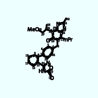 CCCc1c(Cc2ccc(-c3ccccc3-c3noc(=O)[nH]3)cc2)c(=O)n(C(C)COC)c2nc(C)nn12